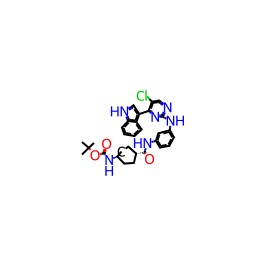 CC(C)(C)OC(=O)N[C@H]1CC[C@H](C(=O)Nc2cccc(Nc3ncc(Cl)c(-c4c[nH]c5ccccc45)n3)c2)CC1